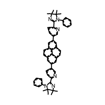 CC1(C)N=C(c2ccc(-c3cc4ccc5cc(-c6ccc(C7=NC(C)(C)C(C)(C)N7c7ccccc7)nc6)cc6ccc(c3)c4c56)cn2)N(c2ccccc2)C1(C)C